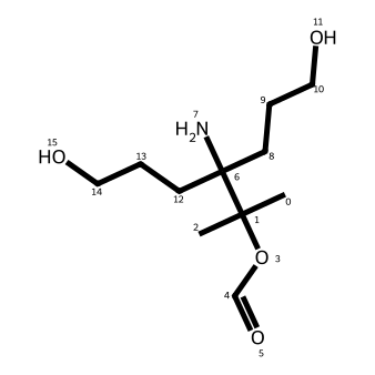 CC(C)(OC=O)C(N)(CCCO)CCCO